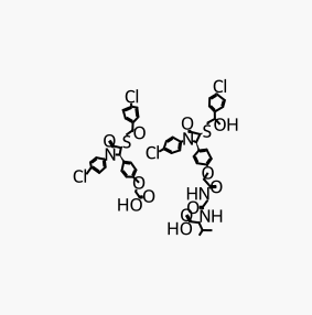 CC(C)[C@@H](NC(=O)CNC(=O)COc1ccc([C@@H]2[C@@H](SCC(O)c3ccc(Cl)cc3)C(=O)N2c2ccc(Cl)cc2)cc1)C(=O)O.O=C(O)COc1ccc([C@@H]2[C@@H](SCC(=O)c3ccc(Cl)cc3)C(=O)N2c2ccc(Cl)cc2)cc1